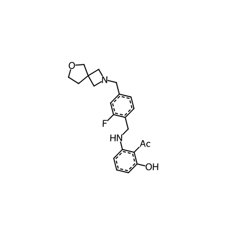 CC(=O)c1c(O)cccc1NCc1ccc(CN2CC3(CCOC3)C2)cc1F